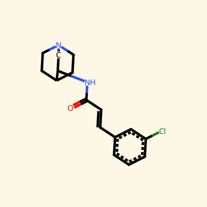 O=C(/C=C/c1cccc(Cl)c1)NC1CN2CCC1CC2